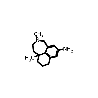 CN1CCC2(C)CCCc3cc(N)cc(c32)C1